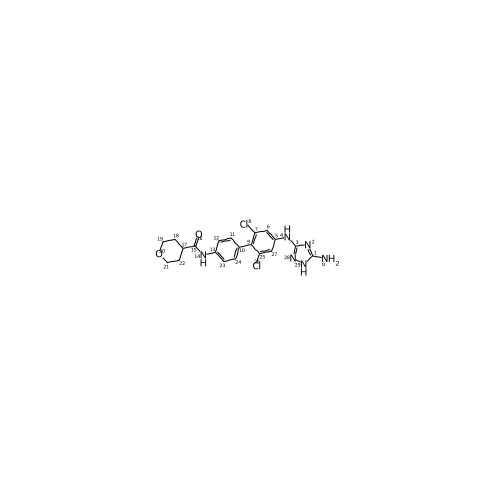 Nc1nc(Nc2cc(Cl)c(-c3ccc(NC(=O)C4CCOCC4)cc3)c(Cl)c2)n[nH]1